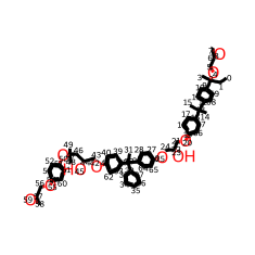 CCC(C)(OCC1CO1)c1ccc(C(C)(C)c2ccc(OCC(O)COc3ccc(C(C)(c4ccccc4)c4ccc(OCC(O)CC(C)(C)Oc5ccc(OCC6CO6)cc5)cc4)cc3)cc2)cc1